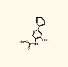 CC(C)(C)OC(=O)Nc1cnc(-c2ccccc2)cc1C=O